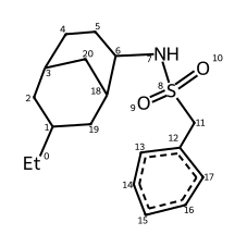 CCC1CC2CCC(NS(=O)(=O)Cc3ccccc3)C(C1)C2